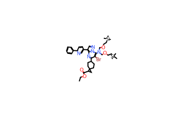 CCOC(=O)C1CC12CCC(c1nc3c(-c4ccc(-c5ccccc5)nc4)cnn3c(N(COCC[Si](C)(C)C)COCC[Si](C)(C)C)c1Br)CC2